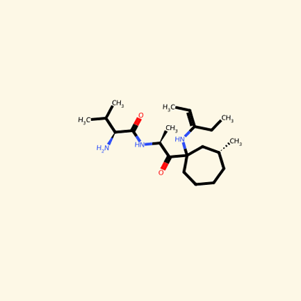 C/C=C(/CC)NC1(C(=O)[C@H](C)NC(=O)[C@@H](N)C(C)C)CCCC[C@@H](C)C1